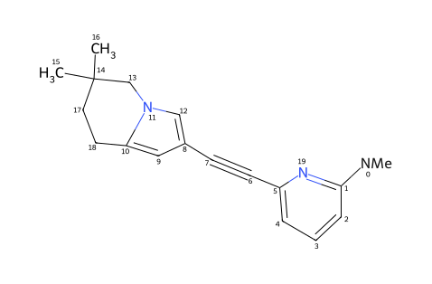 CNc1cccc(C#Cc2cc3n(c2)CC(C)(C)CC3)n1